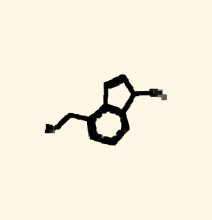 CC1C=Cc2c(CBr)cccc21